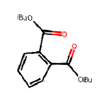 CC(C)COC(=O)c1[c]cccc1C(=O)OCC(C)C